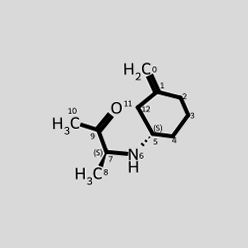 C=C1CCC[C@H](N[C@@H](C)C(C)=O)C1